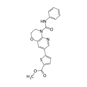 COC(=O)c1ccc(-c2cnc3c(c2)OCCN3C(=O)Nc2ccccc2)s1